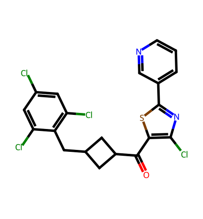 O=C(c1sc(-c2cccnc2)nc1Cl)C1CC(Cc2c(Cl)cc(Cl)cc2Cl)C1